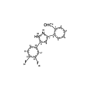 O=Cc1ccccc1-c1cc(-c2ccc(F)c(F)c2)[nH]n1